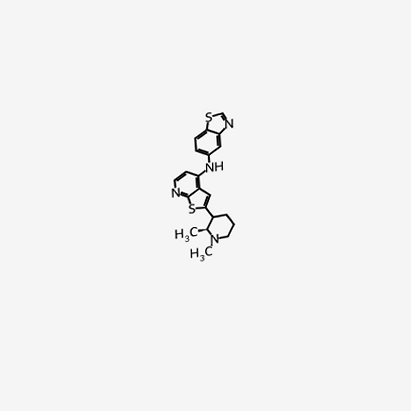 C[C@H]1C(c2cc3c(Nc4ccc5scnc5c4)ccnc3s2)CCCN1C